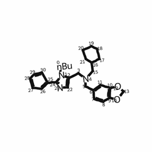 CCCCn1c(CN(Cc2ccc3c(c2)OCO3)CC2CCCCC2)cnc1-c1ccccc1